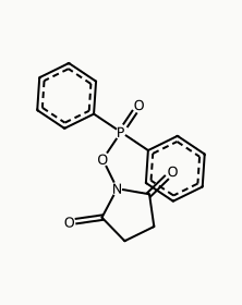 O=C1CCC(=O)N1OP(=O)(c1ccccc1)c1ccccc1